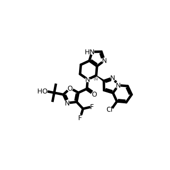 CC(C)(O)c1nc(C(F)F)c(C(=O)N2CCc3[nH]cnc3[C@H]2c2cc3c(Cl)cccn3n2)o1